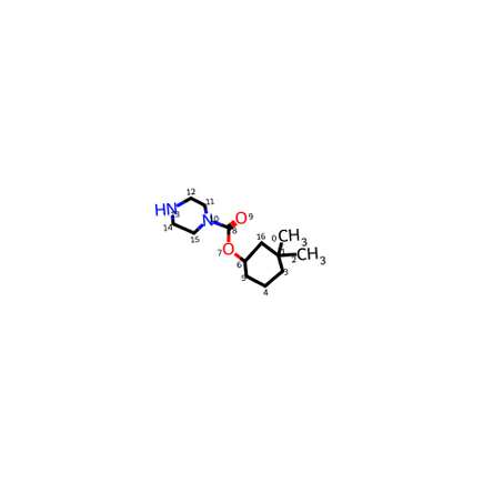 CC1(C)CCCC(OC(=O)N2CCNCC2)C1